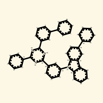 c1ccc(-c2cccc(-c3nc(-c4ccccc4)nc(-c4cccc(-n5c6ccccc6c6cc(-c7ccccc7)ccc65)c4)n3)c2)cc1